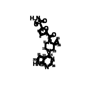 NS(=O)(=O)c1ccc(C(=O)N2CCN(c3ncnc4[nH]ccc34)CC23CC3)o1